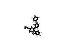 CC(C)c1nc(-c2cccc(-c3ccccc3)c2)c2c(n1)sc1ccccc12